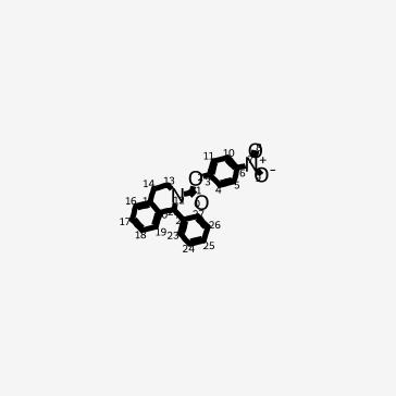 O=C(Oc1ccc([N+](=O)[O-])cc1)N1CCc2ccccc2C1c1ccccc1